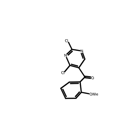 COc1ccccc1C(=O)c1cnc(Cl)nc1Cl